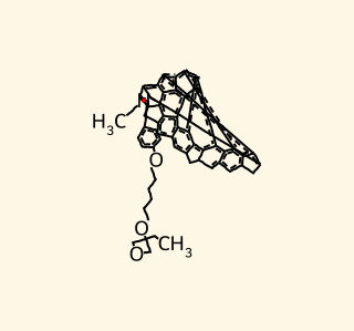 CCC1(OCCCCCCOc2ccc(C3N(C)CC4C5=c6c7c8c9c(cc%10cc%11c%12c%13c%14c%15c(cc%16c%17c(c6c6c7c7c9c%10c%12c7c%14c6c%17%15)=C(C5)C%16)=CC%13C%11)CC843)cc2)COC1